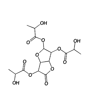 CC(O)C(=O)OC1OC2C(OC(=O)C(C)O)C(=O)OC2C1OC(=O)C(C)O